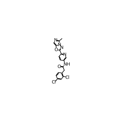 Cc1ncc2oc(-c3ccc(NC(=O)Cc4ccc(Cl)cc4Cl)cn3)nn12